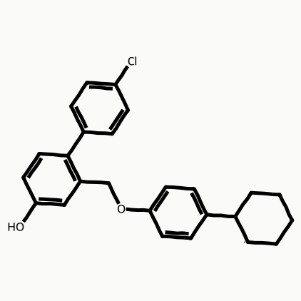 Oc1ccc(-c2ccc(Cl)cc2)c(COc2ccc(C3[CH]CCCC3)cc2)c1